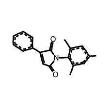 Cc1cc(C)c(N2C(=O)C=C(c3ccccc3)C2=O)c(C)c1